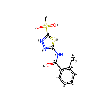 CS(=O)(=O)c1nnc(NC(=O)c2ccccc2C(F)(F)F)s1